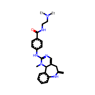 C=C1CC2=CN=C(Nc3ccc(C(=O)NCCN(CC)CC)cc3)N(C)C2c2ccccc2N1